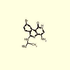 CC(Nc1nc2c(N)c[nH]c(=O)c2c2cc(Br)ccc12)C(C)(C)C